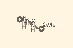 COc1cccc(CCNC(=O)NSc2nc3ccccc3[nH]2)c1